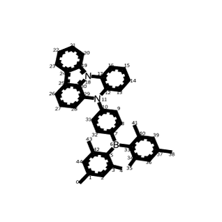 Cc1cc(C)c(B(c2ccc(N3c4ccccc4-n4c5ccccc5c5cccc3c54)cc2)c2c(C)cc(C)cc2C)c(C)c1